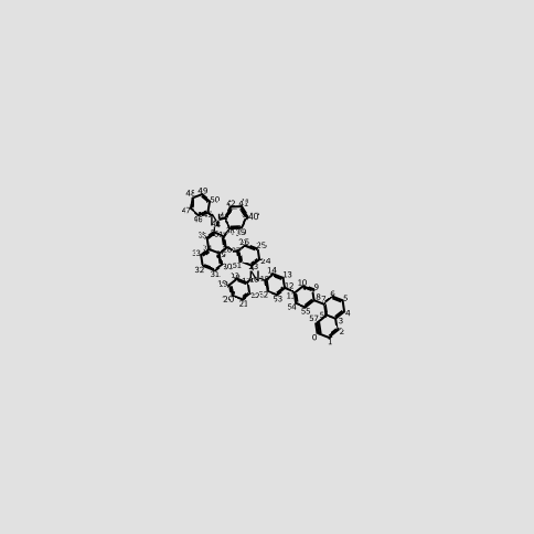 c1ccc2cccc(-c3ccc(-c4ccc(N(c5ccccc5)c5cccc(-c6c7ccccc7cc7c6c6ccccc6n7-c6ccccc6)c5)cc4)cc3)c2c#1